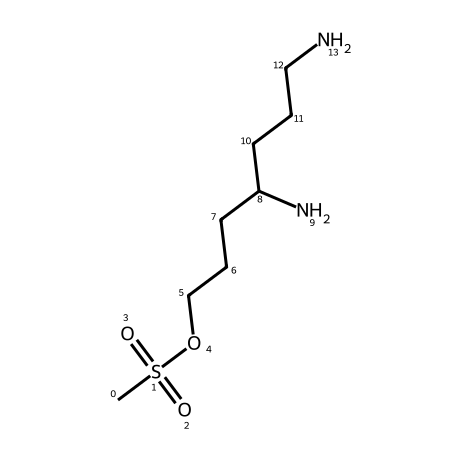 CS(=O)(=O)OCCCC(N)CCCN